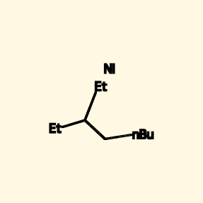 CCCCCC(CC)CC.[Ni]